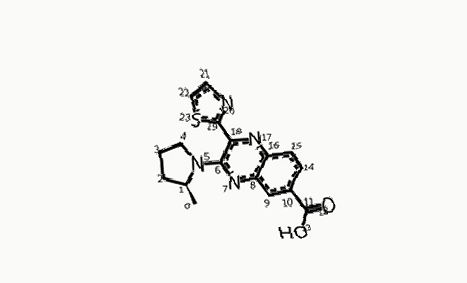 C[C@H]1CCCN1c1nc2cc(C(=O)O)ccc2nc1-c1nccs1